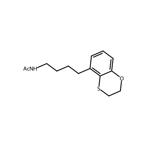 CC(=O)NCCCCc1cccc2c1SCCO2